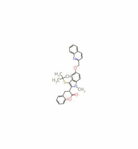 Cn1c(C(Cc2ccccc2)C(=O)O)c(SC(C)(C)C)c2cc(OCc3ccc4ccccc4n3)ccc21